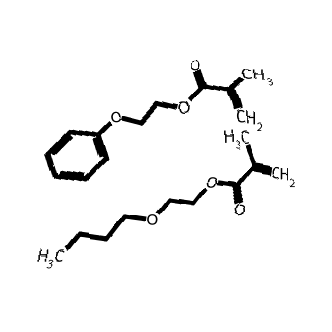 C=C(C)C(=O)OCCOCCCC.C=C(C)C(=O)OCCOc1ccccc1